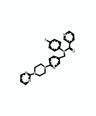 O=C(c1cccnc1)N(Cc1ccc(N2CCN(c3ncccn3)CC2)nc1)c1ccc(F)cc1